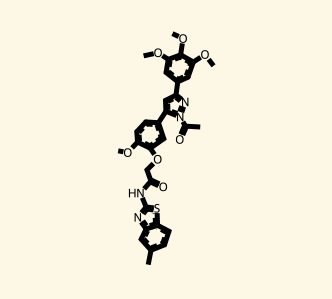 COc1ccc(-c2cc(-c3cc(OC)c(OC)c(OC)c3)nn2C(C)=O)cc1OCC(=O)Nc1nc2cc(C)ccc2s1